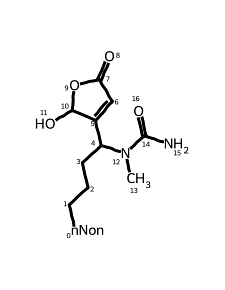 CCCCCCCCCCCCC(C1=CC(=O)OC1O)N(C)C(N)=O